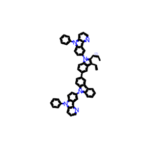 C=Cc1c(/C=C\C)n(-c2ccc3c(c2)c2ncccc2n3-c2ccccc2)c2ccc(-c3ccc4c(c3)c3ccccc3n4-c3ccc4c(c3)c3ncccc3n4-c3ccccc3)cc12